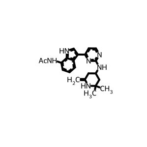 C=C1CC(Nc2nccc(-c3c[nH]c4c(NC(C)=O)cccc34)n2)CC(C)(C)N1